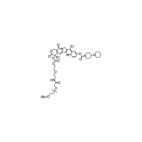 CCc1c2c(nc3ccc(OC(=O)N4CCC(N5CCCCC5)CC4)cc13)-c1cc3c(c(=O)n1C2)COC(=O)[C@@]3(CC)OC(=O)OCCOCCNC(=O)COC(C)(C)CCOC(C)(C)C